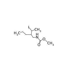 CCCC(CNC(=O)OC)C(C)I